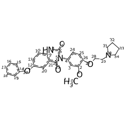 COc1cc(-n2c(=O)[nH]c3ccc(Oc4ccccc4)cc3c2=O)ccc1OCCN1CCCC1